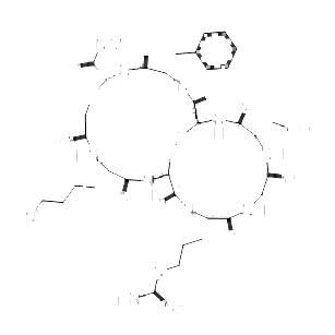 CNC(=O)[C@H]1NC(=O)[C@H](Cc2ccccc2)NC(=O)[C@H]2NC(=O)[C@H](CC(=O)O)NC(=O)CNC(=O)[C@H](CCCNC(=N)N)NC(=O)[C@@H](NC(=O)[C@H](CCCCN)NC(=O)CS1)SS2